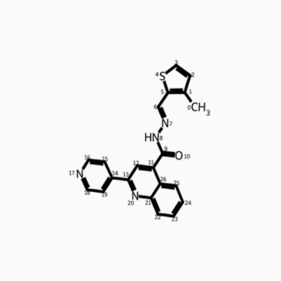 Cc1ccsc1C=NNC(=O)c1cc(-c2ccncc2)nc2ccccc12